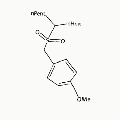 CCCCCCC(CCCCC)S(=O)(=O)Cc1ccc(OC)cc1